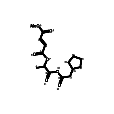 COC(=O)/C=C/C(=O)OC(C)C(=O)OC(=O)CC1CCCC1